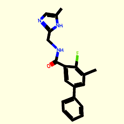 Cc1cnc(CNC(=O)c2cc(-c3ccccc3)cc(C)c2F)[nH]1